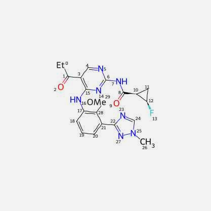 CCC(=O)c1cnc(NC(=O)[C@H]2C[C@H]2F)nc1Nc1cccc(-c2ncn(C)n2)c1OC